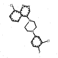 Fc1ccc(N2CCN(c3cnnc4c(Cl)cccc34)CC2)cc1Cl